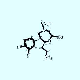 CC(C)(C)C1CN(C(=O)O)C[C@@H](c2ccc(Cl)c(Cl)c2)[C@H](CCN)O1